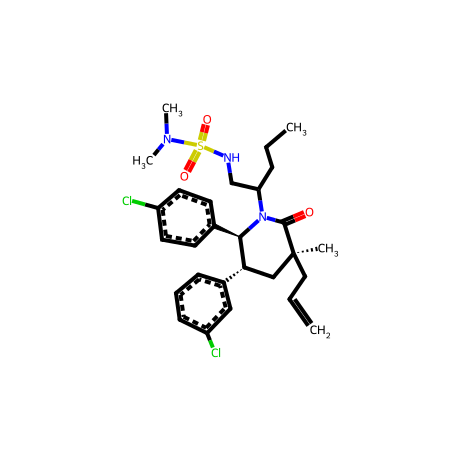 C=CC[C@@]1(C)C[C@H](c2cccc(Cl)c2)[C@@H](c2ccc(Cl)cc2)N(C(CCC)CNS(=O)(=O)N(C)C)C1=O